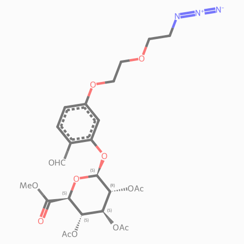 COC(=O)[C@H]1O[C@@H](Oc2cc(OCCOCCN=[N+]=[N-])ccc2C=O)[C@H](OC(C)=O)[C@@H](OC(C)=O)[C@@H]1OC(C)=O